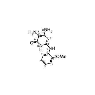 COc1ccccc1Nc1nc(N)c(N)c(=O)[nH]1